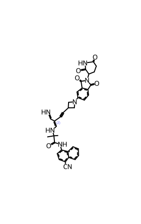 CC(C)(N/C=C(/C#CC1CN(c2ccc3c(c2)C(=O)N(C2CCC(=O)NC2=O)C3=O)C1)C=N)C(=O)Nc1ccc(C#N)c2ccccc12